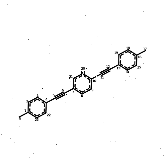 Cc1ccc(C#Cc2ccc(C#Cc3ccc(C)cc3)nc2)cc1